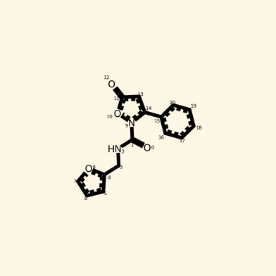 O=C(NCc1ccco1)n1oc(=O)cc1-c1ccccc1